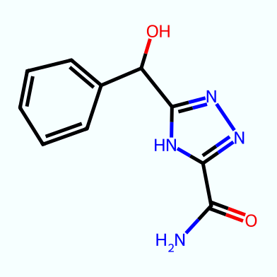 NC(=O)c1nnc(C(O)c2ccccc2)[nH]1